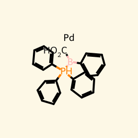 O=C(O)B(c1ccccc1)[PH](c1ccccc1)(c1ccccc1)c1ccccc1.[Pd]